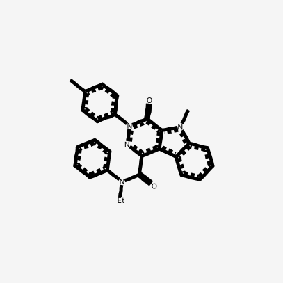 CCN(C(=O)c1nn(-c2ccc(C)cc2)c(=O)c2c1c1ccccc1n2C)c1ccccc1